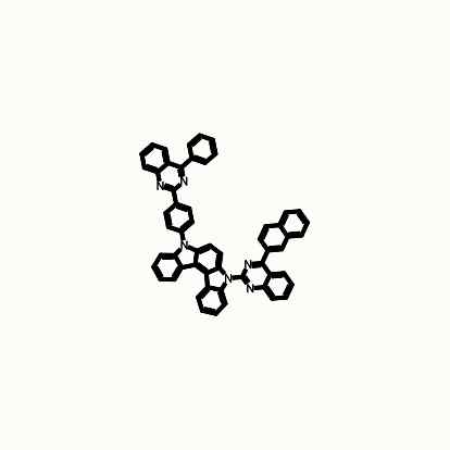 c1ccc(-c2nc(-c3ccc(-n4c5ccccc5c5c6c7ccccc7n(-c7nc(-c8ccc9ccccc9c8)c8ccccc8n7)c6ccc54)cc3)nc3ccccc23)cc1